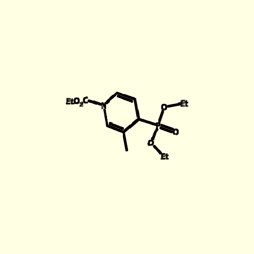 CCOC(=O)N1C=CC(P(=O)(OCC)OCC)C(C)=C1